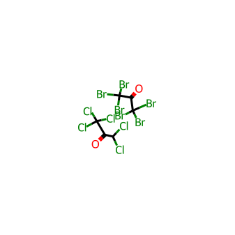 O=C(C(Br)(Br)Br)C(Br)(Br)Br.O=C(C(Cl)Cl)C(Cl)(Cl)Cl